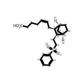 O=C(O)CCC/C=C\C[C@H]1[C@H]2CC[C@H](C2)[C@H]1CCS(=O)(=O)c1ccccc1